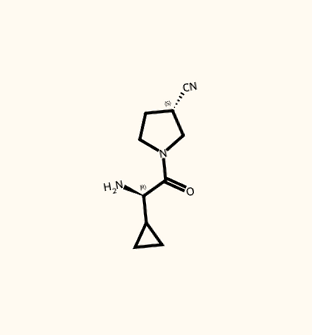 N#C[C@H]1CCN(C(=O)[C@H](N)C2CC2)C1